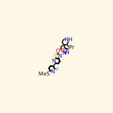 CSc1ccc(-c2ccc3nc(OCC[C@@]4(c5cnno5)CCNCC4C(C)C)sc3n2)c(F)n1